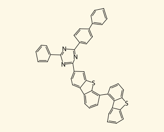 c1ccc(-c2ccc(-c3nc(-c4ccccc4)nc(-c4ccc5c(c4)sc4c(-c6cccc7sc8ccccc8c67)cccc45)n3)cc2)cc1